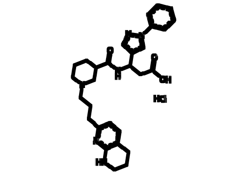 Cl.O=C(O)CC(NC(=O)C1CCCN(CCCc2ccc3c(n2)NCCC3)C1)c1cnn(-c2ccccc2)c1